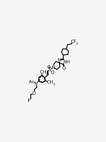 CC(=O)N(CCOCCF)c1cc(C)c(C=CS(=O)(=O)N2CCC3(CC2)N=C(C2CCC(CCC(F)(F)F)CC2)NC3=O)c(C)c1